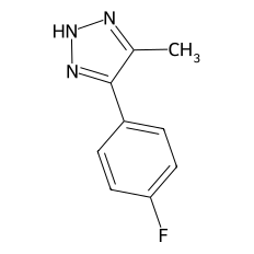 Cc1n[nH]nc1-c1ccc(F)cc1